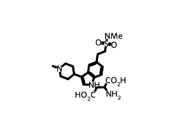 CNS(=O)(=O)CCc1ccc2[nH]cc(C3CCN(C)CC3)c2c1.NC(CC(=O)O)C(=O)O